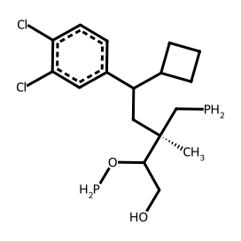 C[C@@](CP)(CC(c1ccc(Cl)c(Cl)c1)C1CCC1)C(CO)OP